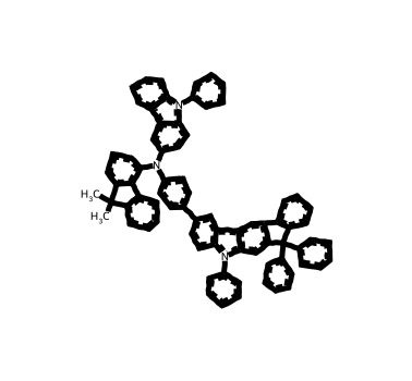 CC1(C)c2ccccc2-c2c(N(c3ccc(-c4ccc5c(c4)c4cc6c(cc4n5-c4ccccc4)C(c4ccccc4)(c4ccccc4)c4ccccc4-6)cc3)c3ccc4c(c3)c3ccccc3n4-c3ccccc3)cccc21